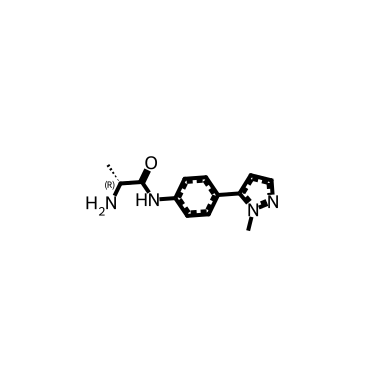 C[C@@H](N)C(=O)Nc1ccc(-c2ccnn2C)cc1